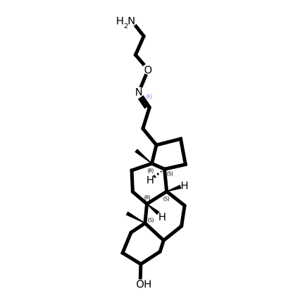 C[C@]12CCC(O)CC1CC[C@@H]1[C@H]2CC[C@]2(C)C(C/C=N/OCCN)CC[C@@H]12